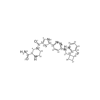 NC(=O)C1CN(C(=O)c2cnc(-c3ccc(NCC4(c5ncccc5F)CCC4)nn3)s2)CCN1